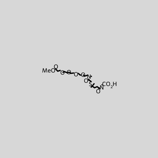 COC(=O)CCOCCOCCOCCOCCN(C)C(=O)CSC(C)(C)CCC(=O)N(C)CC(=O)O